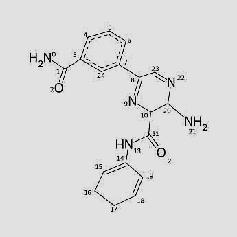 NC(=O)c1cccc(C2=NC(C(=O)NC3=CCCC=C3)C(N)N=C2)c1